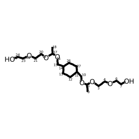 CC(OCCOCCO)OCC1CCC(COC(C)OCCOCCO)CC1